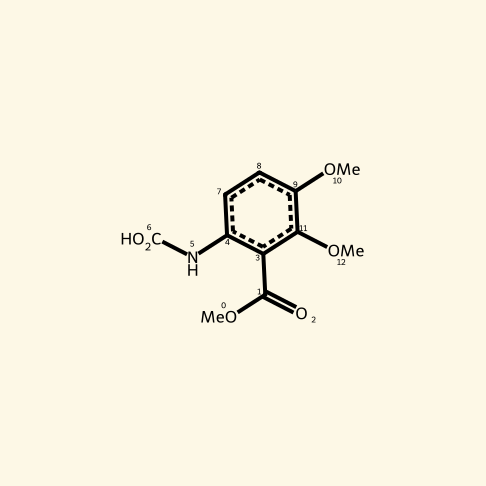 COC(=O)c1c(NC(=O)O)ccc(OC)c1OC